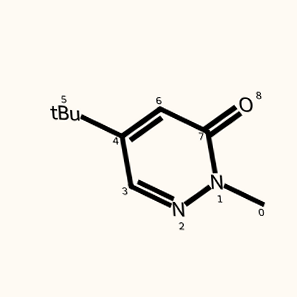 Cn1ncc(C(C)(C)C)cc1=O